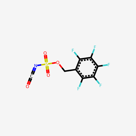 O=C=NS(=O)(=O)OCc1c(F)c(F)c(F)c(F)c1F